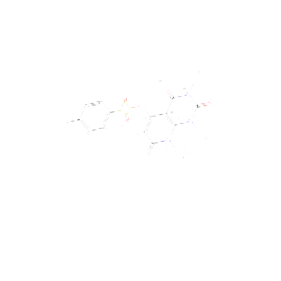 Cc1ccc(S(=O)(=O)Oc2cc(=O)n(C)c3c2c(=O)n(C)c(=O)n3C)cc1